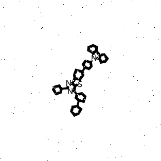 c1ccc(-c2cccc(-c3nc(-c4ccccc4)nc4c3sc3cc(-c5ccc(-n6c7ccccc7c7ccccc76)cc5)ccc34)c2)cc1